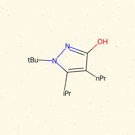 CCCc1c(O)nn(C(C)(C)C)c1C(C)C